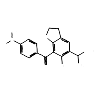 Cc1c(C(C)C(=O)O)cc2c(c1C(=O)c1ccc([S+](C)[O-])cc1)OCC2